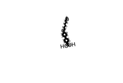 COCCCCCCOc1ccc(-c2ccc(B(O)O)cc2)cc1